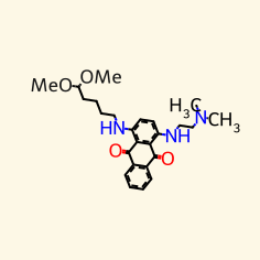 COC(CCCCNc1ccc(NCCN(C)C)c2c1C(=O)c1ccccc1C2=O)OC